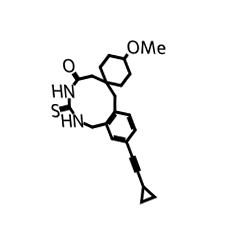 COC1CCC2(CC1)CC(=O)NC(=S)NCc1cc(C#CC3CC3)ccc1C2